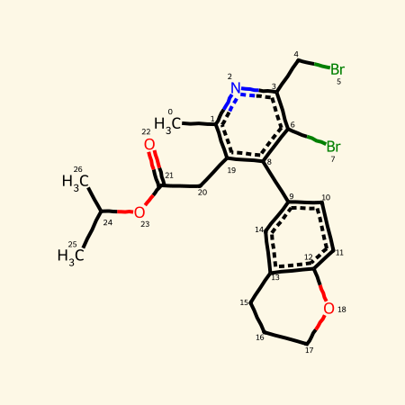 Cc1nc(CBr)c(Br)c(-c2ccc3c(c2)CCCO3)c1CC(=O)OC(C)C